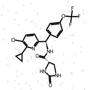 O=C1NC[C@@H](C(=O)N[C@H](c2ccc(OC(F)(F)F)cc2)c2ccc(Cl)c(C3CC3)n2)N1